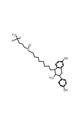 CC1C(c2ccc(O)cc2)Cc2cc(O)ccc2C1CCCCCCCCC[S+]([O-])CCCC(F)(F)C(F)(F)F